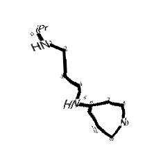 CC(C)NCCCNC1CC[N]CC1